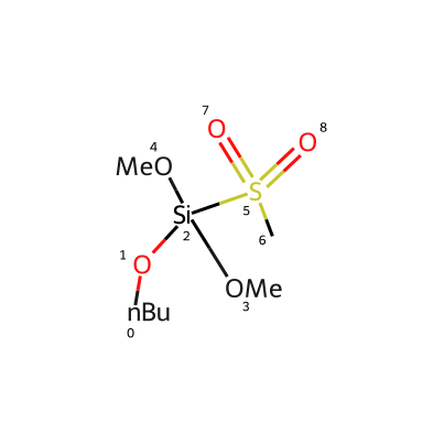 CCCCO[Si](OC)(OC)S(C)(=O)=O